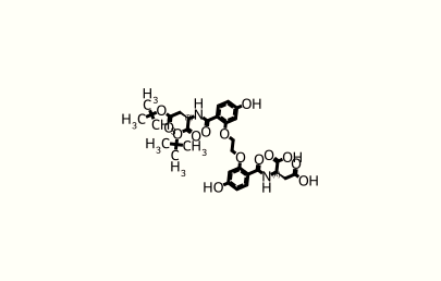 CC(C)(C)OC(=O)C[C@@H](NC(=O)c1ccc(O)cc1OCCOc1cc(O)ccc1C(=O)N[C@H](CC(=O)O)C(=O)O)C(=O)OC(C)(C)C